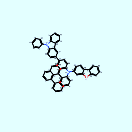 c1ccc(-c2cccc3cccc(-c4ccccc4N(c4ccc(-c5ccc6c(c5)c5ccccc5n6-c5ccccc5)cc4)c4ccc5c(c4)oc4ccccc45)c23)cc1